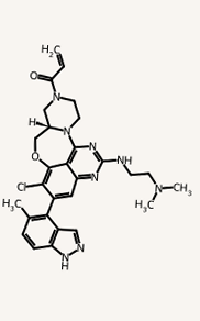 C=CC(=O)N1CCN2c3nc(NCCN(C)C)nc4cc(-c5c(C)ccc6[nH]ncc56)c(Cl)c(c34)OC[C@@H]2C1